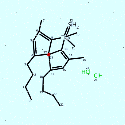 CCCCC1=CC(C)=[C]([Ti]([CH3])([CH3])(=[SiH2])[C]2=C(C)C=C(CCCC)C2)C1.Cl.Cl